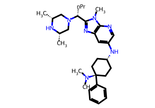 CCC[C@H](c1nc2cc(N[C@H]3CC[C@](c4ccccc4)(N(C)C)CC3)cnc2n1C)N1C[C@@H](C)N[C@@H](C)C1